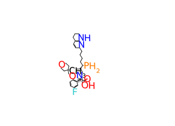 CC1(COc2ccc(F)cc2[C@H](C(=O)O)N2CCC(C(P)CCCCc3ccc4c(n3)NCCC4)C2)CCOCC1